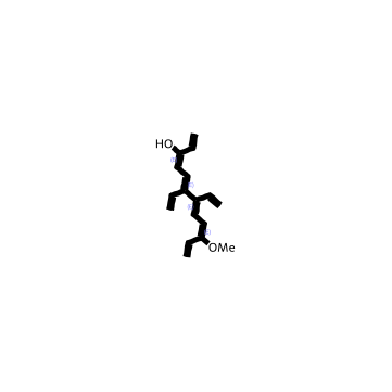 C=C\C(O)=C/C=C(C=C)/C(C=C)=C/C=C(\C=C)OC